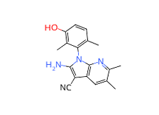 Cc1cc2c(C#N)c(N)n(-c3c(C)ccc(O)c3C)c2nc1C